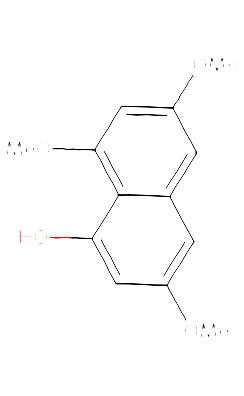 COc1cc(O)c2c(OC)cc(OC)cc2c1